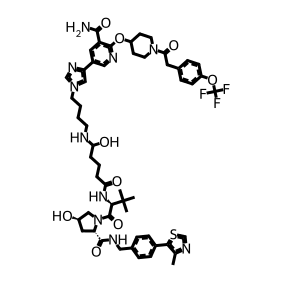 Cc1ncsc1-c1ccc(CNC(=O)[C@@H]2C[C@@H](O)CN2C(=O)[C@@H](NC(=O)CCCC(O)NCCCCn2cnc(-c3cnc(OC4CCN(C(=O)Cc5ccc(OC(F)(F)F)cc5)CC4)c(C(N)=O)c3)c2)C(C)(C)C)cc1